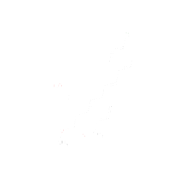 COC(=O)/C(=C/CO)c1cc(/C=C/c2ccc(Cl)cc2)ccc1C